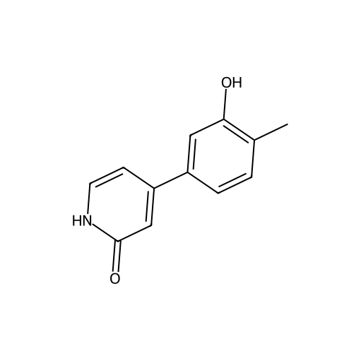 Cc1ccc(-c2cc[nH]c(=O)c2)cc1O